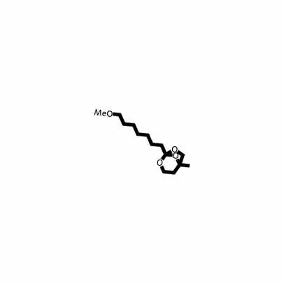 COCCCCCCCC12OCCC(C)(CO1)O2